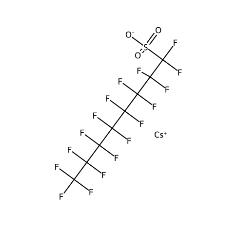 O=S(=O)([O-])C(F)(F)C(F)(F)C(F)(F)C(F)(F)C(F)(F)C(F)(F)C(F)(F)C(F)(F)F.[Cs+]